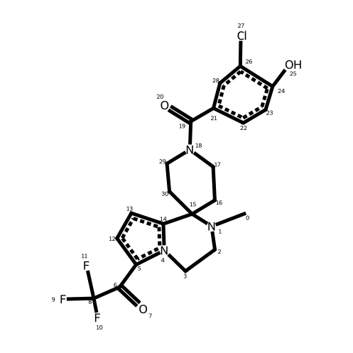 CN1CCn2c(C(=O)C(F)(F)F)ccc2C12CCN(C(=O)c1ccc(O)c(Cl)c1)CC2